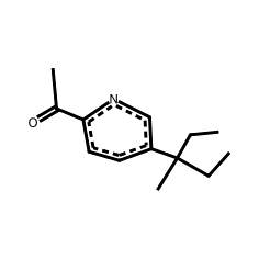 CCC(C)(CC)c1ccc(C(C)=O)nc1